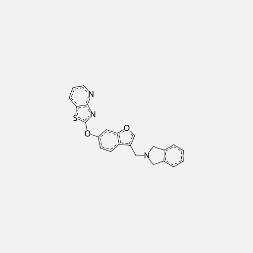 c1ccc2c(c1)CN(Cc1coc3cc(Oc4nc5ncccc5s4)ccc13)C2